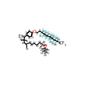 CCC(c1ccc(OCCC(F)(F)C(F)(F)C(F)(F)C(F)(F)C(F)(F)C(F)(F)C(F)(F)C(F)(F)F)cc1)C(C)(C)CC(C)CCCCC[Si](C)(C)O[Si](C)(C)[Si](C)(C)C